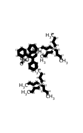 CCC(c1ccccc1)C(OB([O-])[O-])(c1ccccc1)c1ccccc1.CCCC[N+](CCCC)(CCCC)CCCC.CCCC[N+](CCCC)(CCCC)CCCC